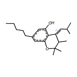 CCCCCc1cc(O)c2c(c1)OC(C)(C)C(C)/C2=C\C(C)C